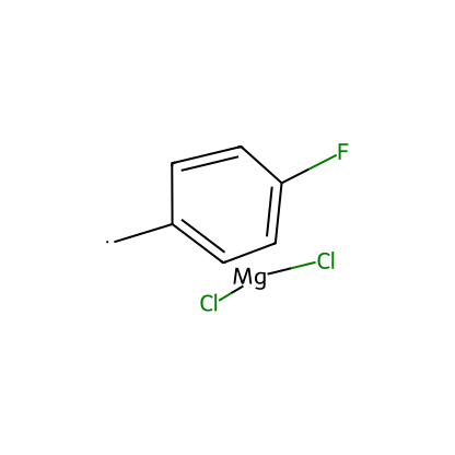 [CH2]c1ccc(F)cc1.[Cl][Mg][Cl]